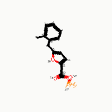 Cc1ccccc1Cc1ccc(C(=O)OP)o1